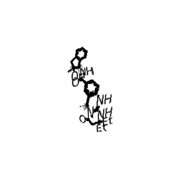 CCC1(CC)CC(=O)N([C@H](C)c2cccc(C(=O)N[C@@H]3c4ccccc4C[C@@]3(C)O)c2)C(=N)N1